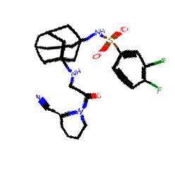 N#C[C@@H]1CCCN1C(=O)CNC12CC3CC(C1)CC(NS(=O)(=O)c1ccc(F)c(F)c1)(C3)C2